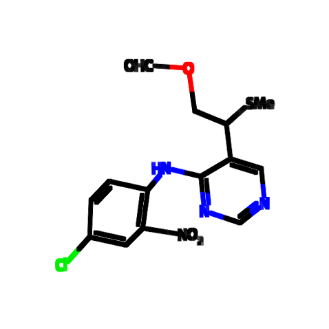 CSC(COC=O)c1cncnc1Nc1ccc(Cl)cc1[N+](=O)[O-]